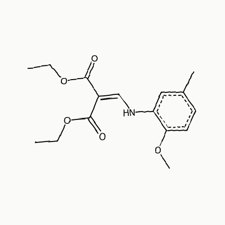 CCOC(=O)C(=CNc1cc(C)ccc1OC)C(=O)OCC